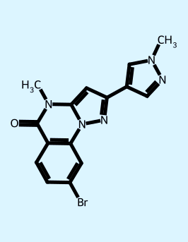 Cn1cc(-c2cc3n(C)c(=O)c4ccc(Br)cc4n3n2)cn1